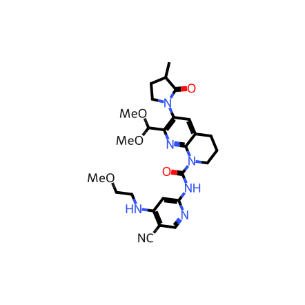 COCCNc1cc(NC(=O)N2CCCc3cc(N4CCC(C)C4=O)c(C(OC)OC)nc32)ncc1C#N